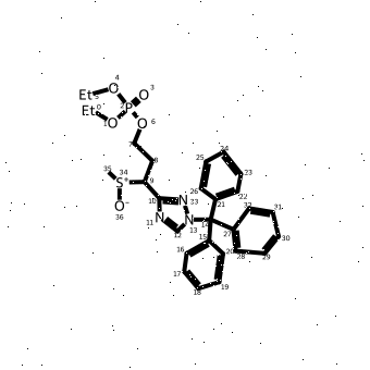 CCOP(=O)(OCC)OCCC(c1ncn(C(c2ccccc2)(c2ccccc2)c2ccccc2)n1)[S+](C)[O-]